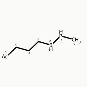 CPBCCCC(C)=O